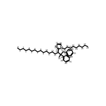 CCCCCCCCCCCCCCC(c1nccn1CCCCCCCCC)C(C)(Cc1ccccc1)c1ccccc1